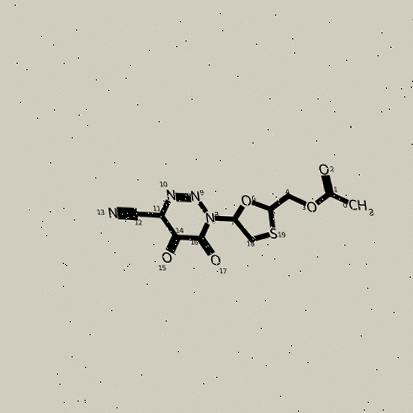 CC(=O)OCC1OC(N2N=NC(C#N)C(=O)C2=O)CS1